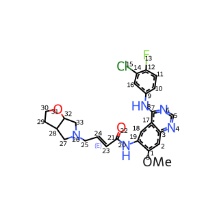 COc1cc2ncnc(Nc3ccc(F)c(Cl)c3)c2cc1NC(=O)/C=C/CN1CC2CCOC2C1